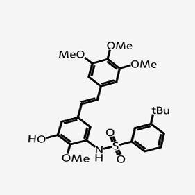 COc1cc(C=Cc2cc(O)c(OC)c(NS(=O)(=O)c3cccc(C(C)(C)C)c3)c2)cc(OC)c1OC